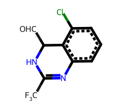 O=CC1NC(C(F)(F)F)=Nc2cccc(Cl)c21